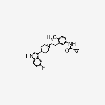 Cc1ccc(NC(=O)C2CC2)cc1CCN1CCC(c2c[nH]c3ccc(F)cc23)CC1